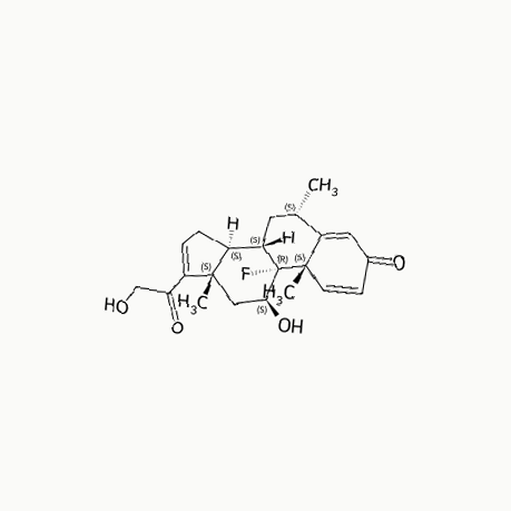 C[C@H]1C[C@H]2[C@@H]3CC=C(C(=O)CO)[C@@]3(C)C[C@H](O)[C@]2(F)[C@@]2(C)C=CC(=O)C=C12